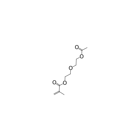 C=C(C)C(=O)OCCOCCOC(C)=O